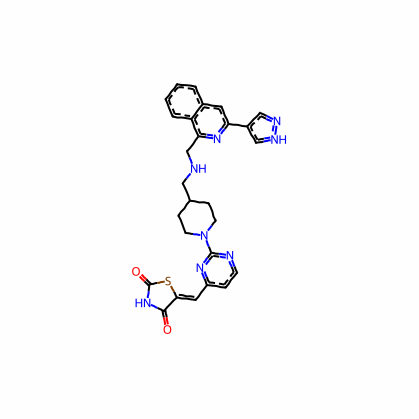 O=C1NC(=O)C(=Cc2ccnc(N3CCC(CNCc4nc(-c5cn[nH]c5)cc5ccccc45)CC3)n2)S1